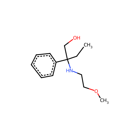 CCC(CO)(NCCOC)c1ccccc1